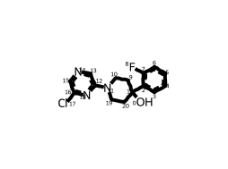 OC1(c2ccccc2F)CCN(c2cncc(Cl)n2)CC1